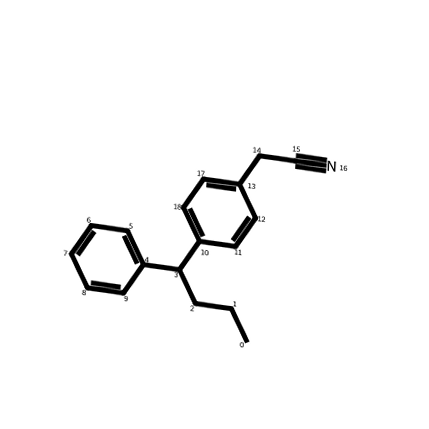 CCCC(c1ccccc1)c1ccc(CC#N)cc1